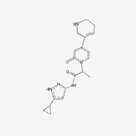 CC(C(=O)Nc1cc(C2CC2)[nH]n1)n1ccc(C2=CCCNC2)cc1=O